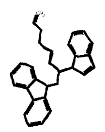 C=CCCCCC(CC1c2ccccc2-c2ccccc21)C1C=Cc2ccccc21